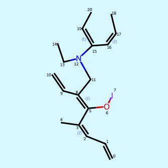 C=C/C=C(C)\C(OI)=C(/C=C)CN(CC)C(/C=C\C)=C/C